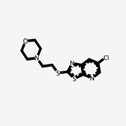 Clc1cnc2sc(SCCN3CCOCC3)nc2c1